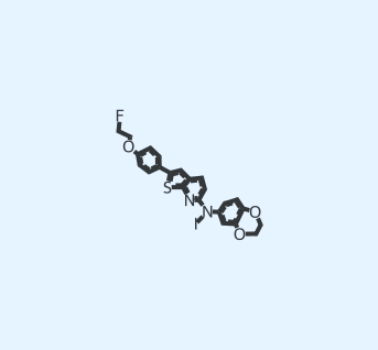 FCCOc1ccc(-c2cc3ccc(N(I)c4ccc5c(c4)OCCO5)nc3s2)cc1